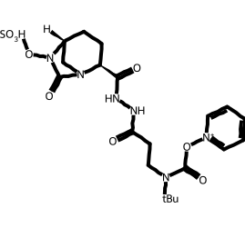 CC(C)(C)N(CCC(=O)NNC(=O)[C@@H]1CC[C@@H]2CN1C(=O)N2OS(=O)(=O)O)C(=O)O[n+]1ccccc1